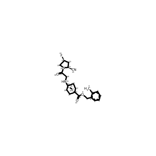 Cc1ccccc1COC(=O)C12CCC(NCC(=O)N3C[C@@H](F)C[C@H]3C#N)(CC1)CC2